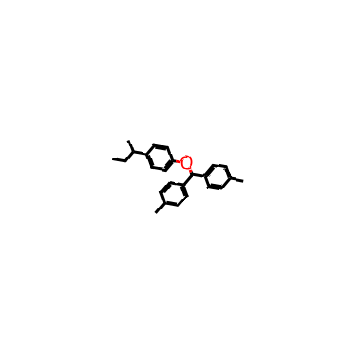 CCC(C)c1ccc(OC(c2ccc(C)cc2)c2ccc(C)cc2)cc1